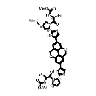 COC[C@H]1C[C@@H](c2ncc(-c3cc4c5c(c3)OCc3cc(-c6cnc([C@@H]7CC[C@H](C)N7C(=O)C(NC(=O)OC)C(C)C)[nH]6)cc(c3-5)OC4)[nH]2)N(C(=O)[C@@H](NC(=O)OC)C(C)C)C1